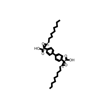 CCCCCCCCC[C@@H]1O[C@@]1(C(=O)O)c1ccc(-c2ccc([C@]3(C(=O)O)O[C@H]3CCCCCCCCC)cc2)cc1